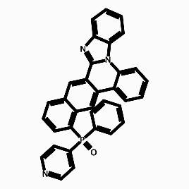 O=P(c1ccccc1)(c1ccncc1)c1cccc2cc3c(cc12)c1ccccc1n1c2ccccc2nc31